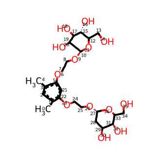 Cc1cc(C)c(OCCO[C@@H]2OC(CO)[C@@H](O)C(O)C2O)cc1OCCO[C@H]1CC(O)[C@H](O)C(CO)O1